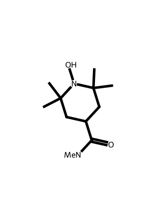 CNC(=O)C1CC(C)(C)N(O)C(C)(C)C1